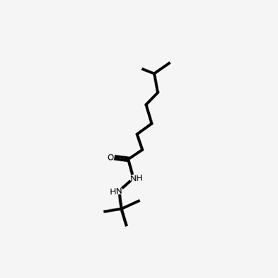 CC(C)CCCCCC(=O)NNC(C)(C)C